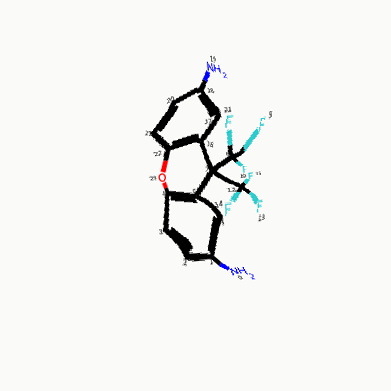 Nc1ccc2c(c1)C(C(F)(F)F)(C(F)(F)F)c1cc(N)ccc1O2